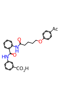 CC(=O)c1ccc(OCCCCC(=O)Nc2ccccc2C(=O)Nc2cccc(C(=O)O)c2)cc1